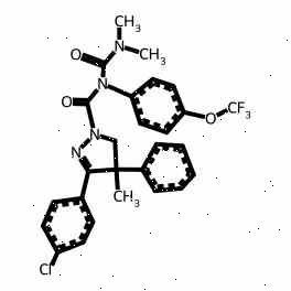 CN(C)C(=O)N(C(=O)N1CC(C)(c2ccccc2)C(c2ccc(Cl)cc2)=N1)c1ccc(OC(F)(F)F)cc1